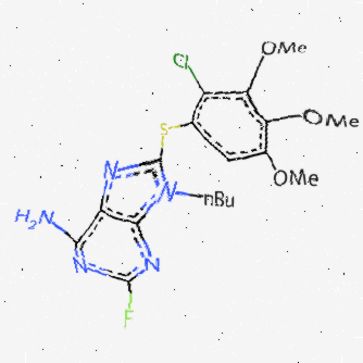 CCCCn1c(Sc2cc(OC)c(OC)c(OC)c2Cl)nc2c(N)nc(F)nc21